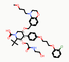 COCCCN1CCOc2ccc(CO[C@H]3CN(C(=O)O)C(C(C)(C)C)[C@@H](OCC(=O)NCCO)[C@@H]3c3ccc(OCCCOc4ccccc4Cl)cc3)cc21